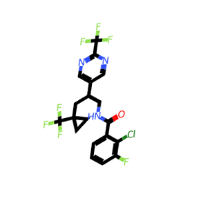 O=C(NCC(CC1(C(F)(F)F)CC1)c1cnc(C(F)(F)F)nc1)c1cccc(F)c1Cl